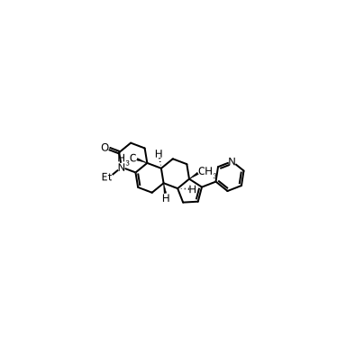 CCN1C(=O)CC[C@@]2(C)C1=CC[C@@H]1[C@@H]2CC[C@]2(C)C(c3cccnc3)=CC[C@@H]12